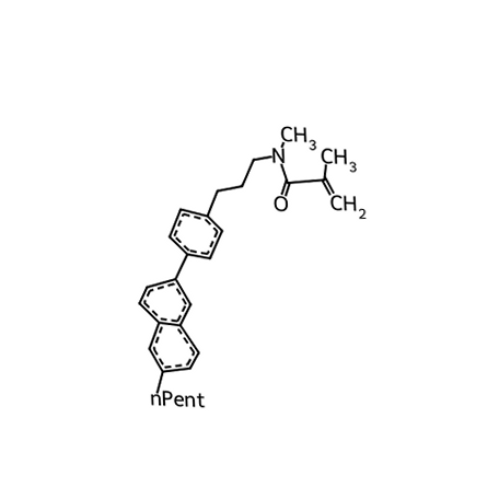 C=C(C)C(=O)N(C)CCCc1ccc(-c2ccc3cc(CCCCC)ccc3c2)cc1